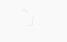 C#CC(C)C(C)S(=O)(=O)O